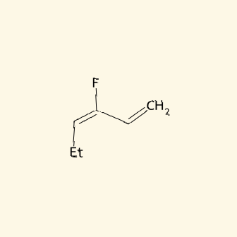 C=C/C(F)=C\CC